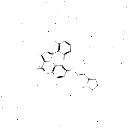 Cc1cccc(Cl)c1-c1ncc2c(N)nc3ccc(NCCC4CCCN4C)cc3n12